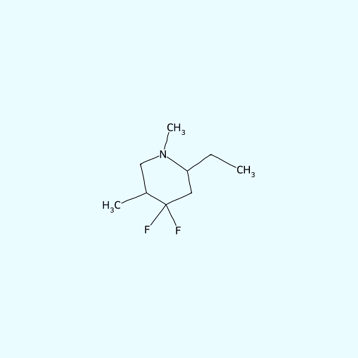 CCC1CC(F)(F)C(C)CN1C